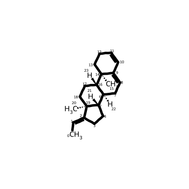 C/C=C1\CC[C@H]2[C@@H]3CC=C4C=CCC[C@]4(C)[C@H]3CC[C@]12C